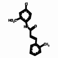 Cc1ccccc1/C=C/C(=O)Nc1ccc(Cl)cc1C(=O)O